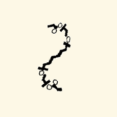 C=CC(=O)OC(C)(C)CCOC(C)(C)CCCCCCC(C)(C)OCCC(C)(C)OC(=O)C=C